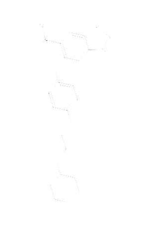 Cn1ncc2cc(C(N)=O)c(Oc3ccc(OCCOC4CCOCC4)cc3)cc21